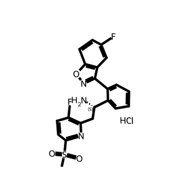 CS(=O)(=O)c1ccc(F)c(C[C@H](N)c2ccccc2-c2noc3ccc(F)cc23)n1.Cl